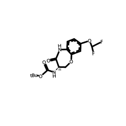 CC(C)(C)OC(=O)N[C@H]1COc2cc(OC(F)F)ccc2NC1=O